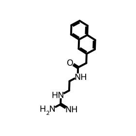 N=C(N)NCCNC(=O)Cc1ccc2ccccc2c1